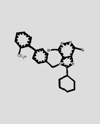 O=C(O)c1ccccc1-c1ccc(Cn2c(C3CCCCC3)nc3c(Br)nnc(Br)c32)cc1